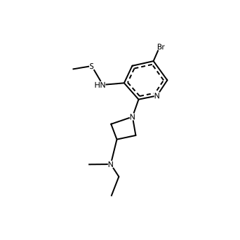 CCN(C)C1CN(c2ncc(Br)cc2NSC)C1